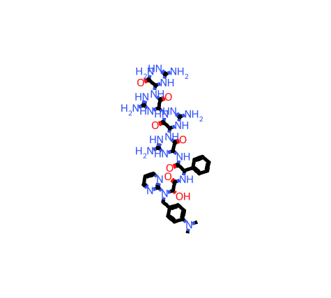 CN(C)c1ccc(CN(c2ncccn2)C(O)C(=O)NC(C(=O)NC(NC(=N)N)C(=O)NC(NC(=N)N)C(=O)NC(NC(=N)N)C(=O)NC(NC(=N)N)C(N)=O)c2ccccc2)cc1